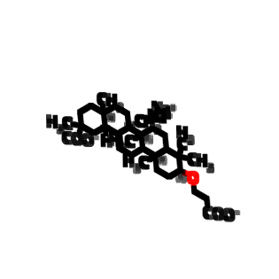 CC1(C(=O)[O-])CC[C@]2(C)CC[C@]3(C)C(=CCC4[C@@]5(C)CC[C@H](OCCC(=O)[O-])C(C)(C)C5CC[C@]43C)[C@@H]2C1.[Na+].[Na+]